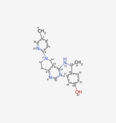 Cc1ccc(N2CCc3ncnc(NC(C)c4ccc(O)cc4)c3C2)nc1